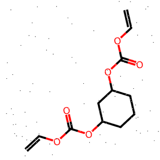 C=COC(=O)OC1CCCC(OC(=O)OC=C)C1